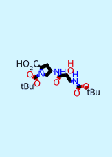 CC(C)(C)OC(=O)NC[C@H](O)C(=O)N[C@H]1C[C@H](C(=O)O)N(C(=O)OC(C)(C)C)C1